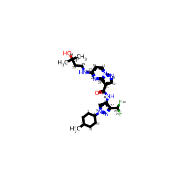 CC1CCC(n2cc(NC(=O)c3cnn4ccc(NCCC(C)(C)O)nc34)c(C(F)F)n2)CC1